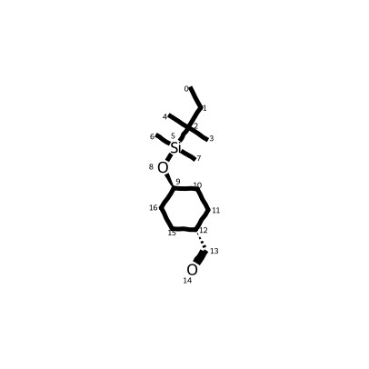 CCC(C)(C)[Si](C)(C)O[C@H]1CC[C@H](C=O)CC1